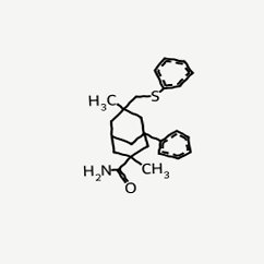 CC1(CSc2ccccc2)CC2CC(C)(C(N)=O)CC(c3ccccc3)(C2)C1